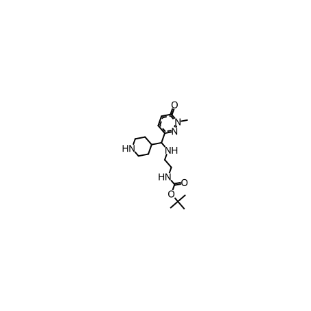 Cn1nc(C(NCCNC(=O)OC(C)(C)C)C2CCNCC2)ccc1=O